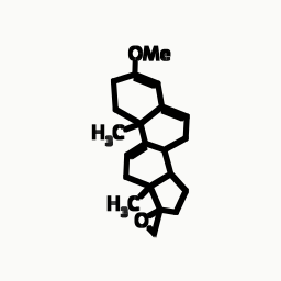 COC1=CC2=CCC3C(=CCC4(C)C3CCC43CO3)C2(C)CC1